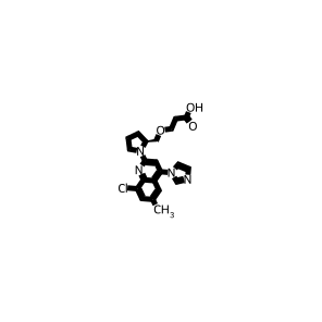 Cc1cc(Cl)c2nc(N3CCC[C@H]3COCCC(=O)O)cc(-n3ccnc3)c2c1